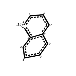 c1ccc2[14c]cccc2c1